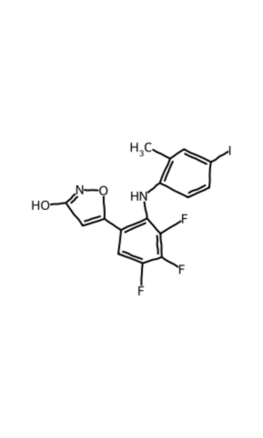 Cc1cc(I)ccc1Nc1c(-c2cc(O)no2)cc(F)c(F)c1F